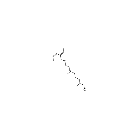 C/C=C\C(=C/C)COC/C=C(\C)CC/C=C(\C)CCl